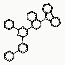 c1ccc(-c2cccc(-c3cc(-c4ccc(-n5c6ccccc6c6ccccc65)c5ccccc45)nc(-c4ccccc4)n3)c2)cc1